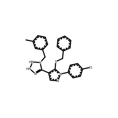 CCc1ccc(-n2ncc(C3=NNNN3Cc3cccc(C)c3)c2SCc2ccccc2)cc1